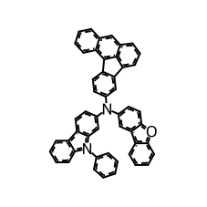 c1ccc(-n2c3ccccc3c3ccc(N(c4ccc5c(c4)-c4cccc6cc7ccccc7c-5c46)c4ccc5oc6ccccc6c5c4)cc32)cc1